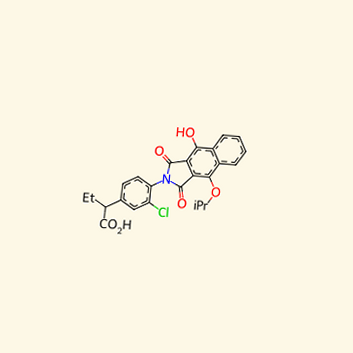 CCC(C(=O)O)c1ccc(N2C(=O)c3c(c(OC(C)C)c4ccccc4c3O)C2=O)c(Cl)c1